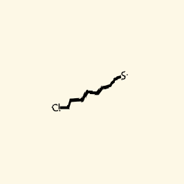 [S]CCCCCCCCCl